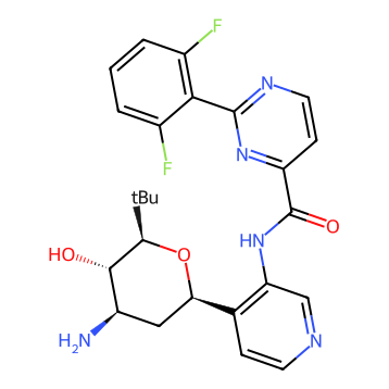 CC(C)(C)[C@H]1O[C@@H](c2ccncc2NC(=O)c2ccnc(-c3c(F)cccc3F)n2)C[C@@H](N)[C@@H]1O